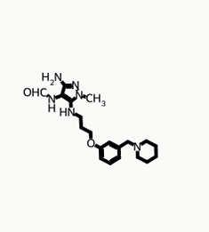 Cn1nc(N)c(NC=O)c1NCCCOc1cccc(CN2CCCCC2)c1